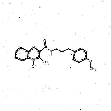 COc1ccc(CCCNC(=O)c2nc3ccccc3[n+]([O-])c2C)cc1